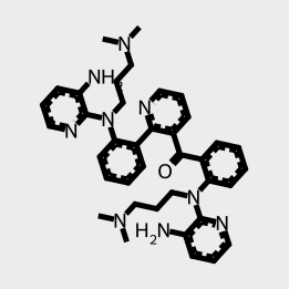 CN(C)CCCN(c1ccccc1C(=O)c1cccnc1-c1ccccc1N(CCCN(C)C)c1ncccc1N)c1ncccc1N